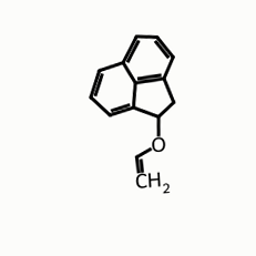 C=COC1Cc2cccc3cccc1c23